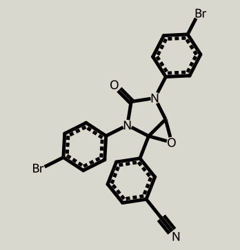 N#Cc1cccc(C23OC2N(c2ccc(Br)cc2)C(=O)N3c2ccc(Br)cc2)c1